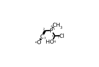 CP(C=C=O)C(O)Cl